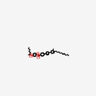 CCCCCCCCCCc1ccc(-c2ccc(-c3ccc(C(=O)Oc4ccc(OC(C)CCCCC)cc4)cc3)cc2)cc1C